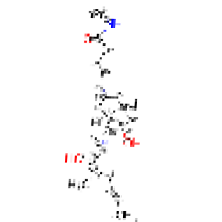 CC#CC[C@H](C)[C@H](O)/C=C/[C@@H]1[C@H]2C/C(=C/CCCC(=O)NCCC)C[C@H]2C[C@H]1O